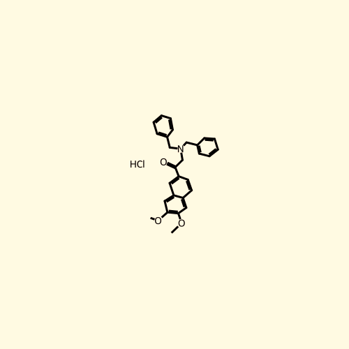 COc1cc2ccc(C(=O)CN(Cc3ccccc3)Cc3ccccc3)cc2cc1OC.Cl